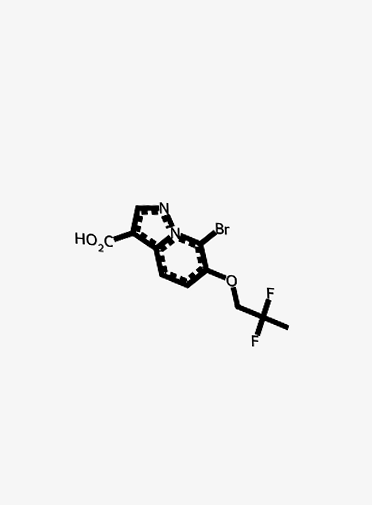 CC(F)(F)COc1ccc2c(C(=O)O)cnn2c1Br